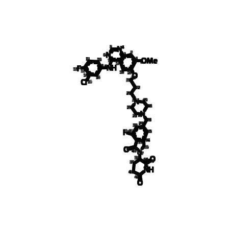 COc1cc2ncnc(Nc3ccc(F)c(Cl)c3)c2cc1OCCCN1CCN(Cc2cc(F)c3c(c2)CN(C2CCC(=O)NC2=O)C3=O)CC1